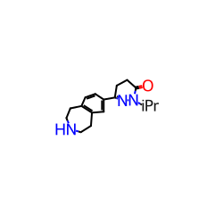 CC(C)N1N=C(c2ccc3c(c2)CCNCC3)CCC1=O